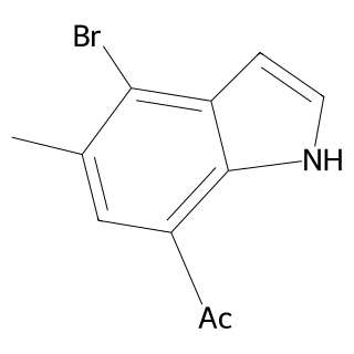 CC(=O)c1cc(C)c(Br)c2cc[nH]c12